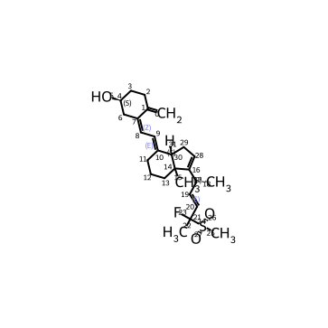 C=C1CC[C@H](O)C/C1=C/C=C1\CCCC2(C)C([C@H](C)/C=C/C(C)(F)S(C)(=O)=O)=CC[C@@H]12